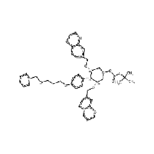 CC(C)(C)OC(=O)ON1C[C@H](OCc2ccc3cccnc3c2)[C@H](c2ccc(OCCCOCc3ccccc3)cc2)[C@H](OCc2ccc3cccnc3c2)C1